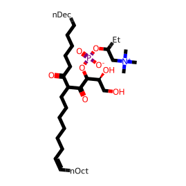 CCCCCCCC/C=C\CCCCCCC(C(=O)CCCCCCCCCCCCCCC)C(=O)C(OP(=O)([O-])OC(CC)C[N+](C)(C)C)[C@@H](O)CO